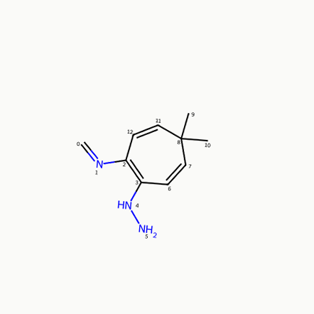 C=NC1=C(NN)C=CC(C)(C)C=C1